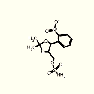 CC1(C)OC(COS(N)(=O)=O)C(c2ccccc2[N+](=O)[O-])O1